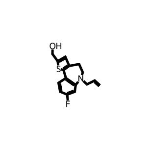 C=CCN1CCc2cc(CO)sc2-c2ccc(F)cc21